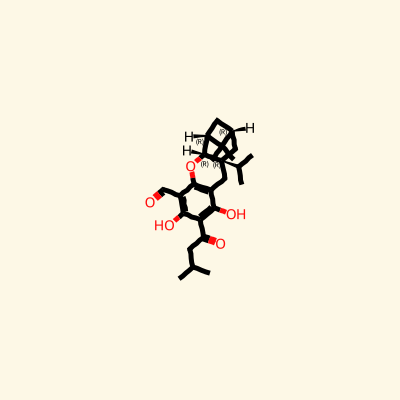 CC(C)CC(=O)c1c(O)c(C=O)c2c(c1O)C[C@@]1(C(C)C)C[C@H]3C[C@@H]([C@H]1O2)C3(C)C